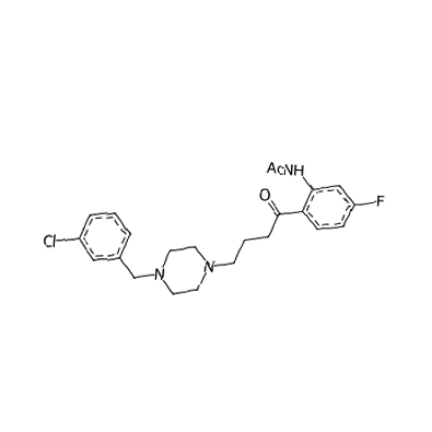 CC(=O)Nc1cc(F)ccc1C(=O)CCCN1CCN(Cc2cccc(Cl)c2)CC1